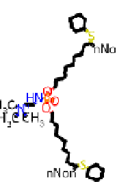 CCCCCCCCCC(CCCCCCCCOP(=O)(NCC[N+](C)(C)C)OCCCCCCCCC(CCCCCCCCC)SC1CCCCC1)SC1CCCCC1